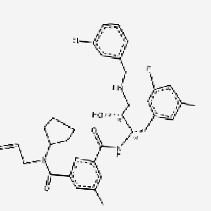 C=CCN(C(=O)c1cc(C)cc(C(=O)N[C@@H](Cc2cc(F)cc(F)c2)[C@H](O)CNCc2cccc(CC)c2)c1)C1CCCC1